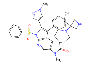 CN1C(=O)C2(CCN(C3(CC#N)CNC3)CC2)c2c1cnc1c2c(-c2ccccc2)c(-c2cnn(C)c2)n1S(=O)(=O)c1ccccc1